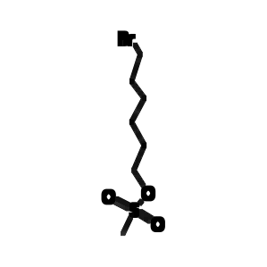 CS(=O)(=O)OCCCCCCBr